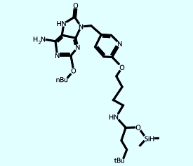 CCCCOc1nc(N)c2[nH]c(=O)n(Cc3ccc(OCCCCNC(CCC(C)(C)C)O[SiH](C)C)nc3)c2n1